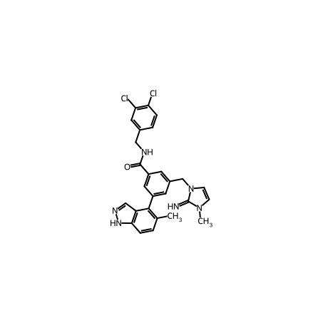 Cc1ccc2[nH]ncc2c1-c1cc(Cn2ccn(C)c2=N)cc(C(=O)NCc2ccc(Cl)c(Cl)c2)c1